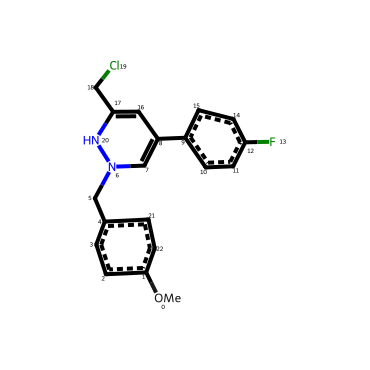 COc1ccc(CN2C=C(c3ccc(F)cc3)C=C(CCl)N2)cc1